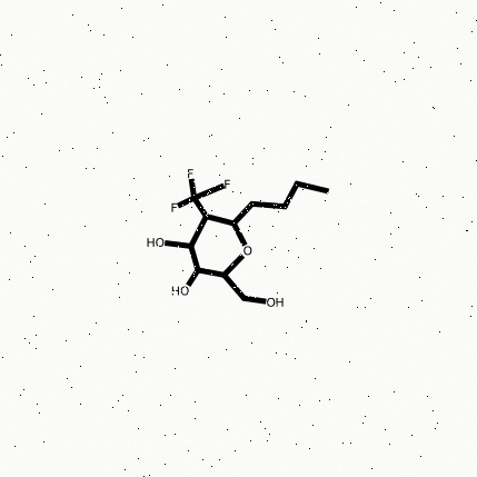 CCCCC1OC(CO)C(O)C(O)C1C(F)(F)F